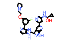 OC(Nc1cncc(-c2cc3c(-c4nc5c(-c6cc(F)cc(OCCN7CCCC7)c6)nccc5[nH]4)n[nH]c3cn2)c1)C1CC1